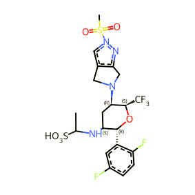 CC(N[C@H]1C[C@@H](N2Cc3cn(S(C)(=O)=O)nc3C2)[C@@H](C(F)(F)F)O[C@@H]1c1cc(F)ccc1F)S(=O)(=O)O